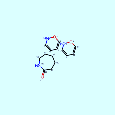 C1=CNOC=C1.C1=CNOC=C1.O=C1CCCCCN1